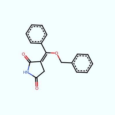 O=C1CC(=C(OCc2ccccc2)c2ccccc2)C(=O)N1